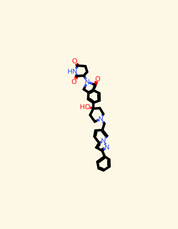 O=C1CCC(N2Cc3cc(C4(O)CCN(Cc5ccc6cc(-c7ccccc7)nn6c5)CC4)ccc3C2=O)C(=O)N1